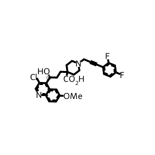 COc1ccc2ncc(Cl)c([C@@H](O)CCC3(C(=O)O)CCN(CC#Cc4ccc(F)cc4F)CC3)c2c1